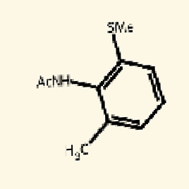 CSc1cccc(C)c1NC(C)=O